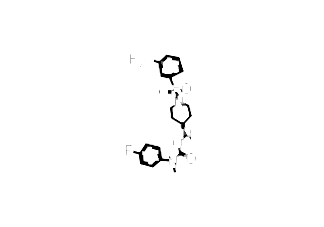 CN(C(=O)ON=C1CCN(S(=O)(=O)c2cccc(C(F)(F)F)c2)CC1)c1ccc(F)cc1